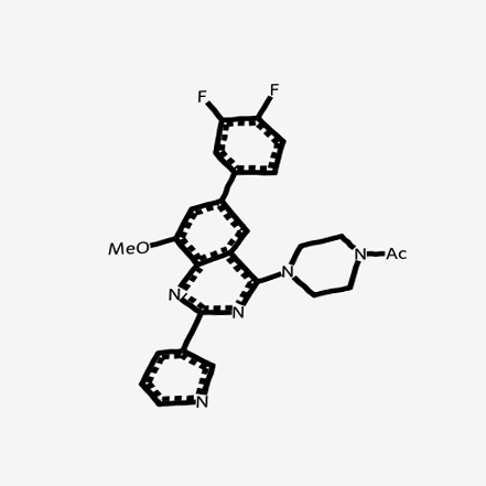 COc1cc(-c2ccc(F)c(F)c2)cc2c(N3CCN(C(C)=O)CC3)nc(-c3cccnc3)nc12